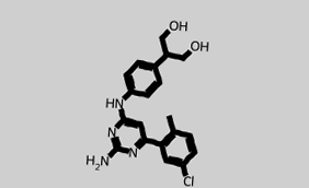 Cc1ccc(Cl)cc1-c1cc(Nc2ccc(C(CO)CO)cc2)nc(N)n1